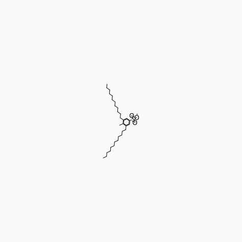 CCCCCCCCCCCCc1cc(S(=O)(=O)OC)cc(CCCCCCCCCCCC)c1C